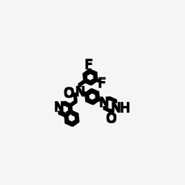 O=C1CN(c2ccc(N(Cc3cc(F)cc(F)c3)C(=O)Cc3cncc4ccccc34)cc2)CCN1